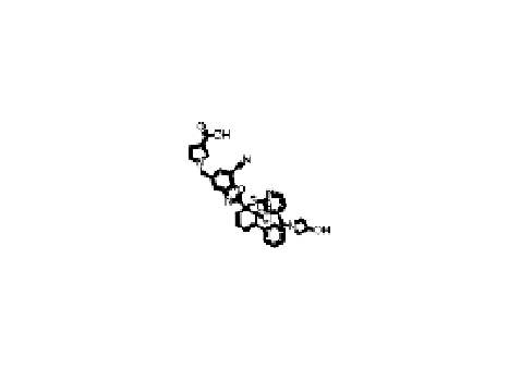 CC1(Cl)C(c2ccccc2)=CC=CC1(Sc1cc(CN2CC(O)C2)ccn1)c1nc2cc(CN3CCC(C(=O)O)C3)cc(C#N)c2o1